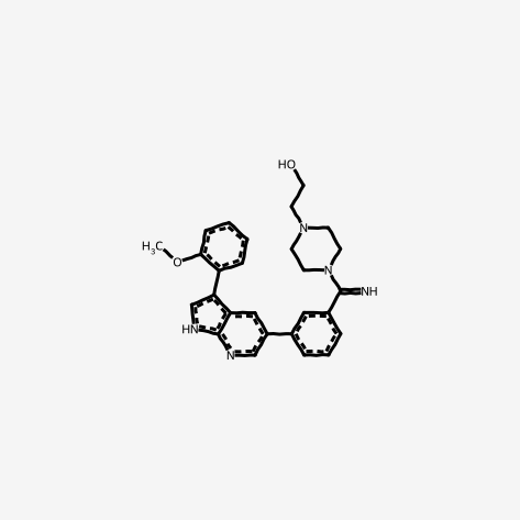 COc1ccccc1-c1c[nH]c2ncc(-c3cccc(C(=N)N4CCN(CCO)CC4)c3)cc12